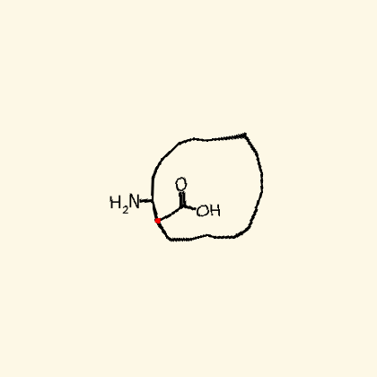 NC12CCCCCCCCCCCCCCC(C1)C2C(=O)O